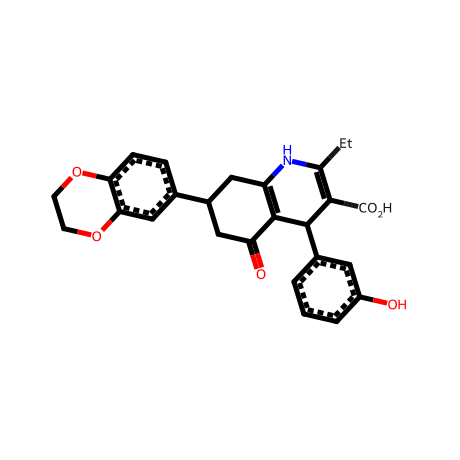 CCC1=C(C(=O)O)C(c2cccc(O)c2)C2=C(CC(c3ccc4c(c3)OCCO4)CC2=O)N1